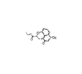 CCOC(=O)C1Cn2c(=O)cc(O)c3cccc(c32)O1